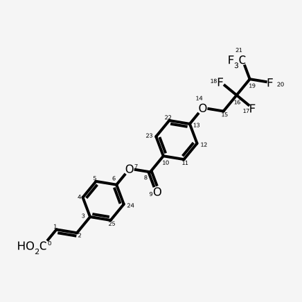 O=C(O)C=Cc1ccc(OC(=O)c2ccc(OCC(F)(F)C(F)C(F)(F)F)cc2)cc1